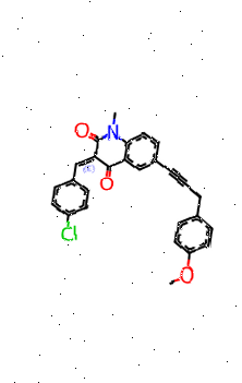 COc1ccc(CC#Cc2ccc3c(c2)C(=O)/C(=C\c2ccc(Cl)cc2)C(=O)N3C)cc1